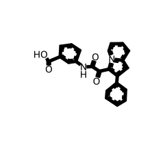 O=C(Nc1cccc(C(=O)O)c1)C(=O)c1c(-c2ccccc2)cc2ccccn12